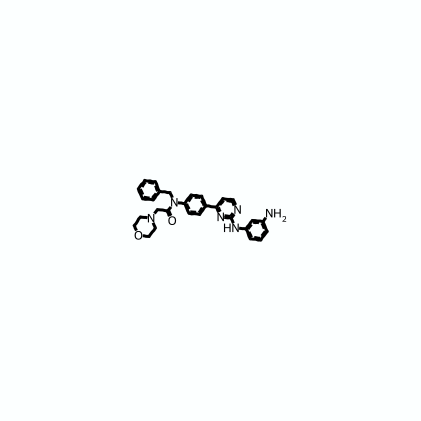 Nc1cccc(Nc2nccc(-c3ccc(N(Cc4ccccc4)C(=O)CN4CCOCC4)cc3)n2)c1